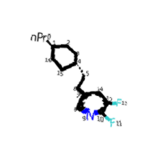 CCC[C@H]1CC[C@H](CCc2cnc(F)c(F)c2)CC1